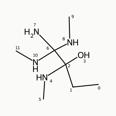 CCC(O)(NC)C(N)(NC)NC